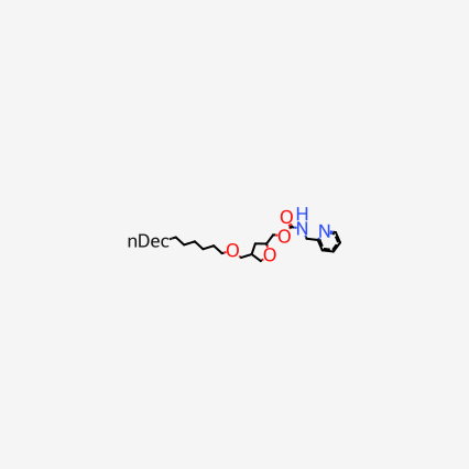 CCCCCCCCCCCCCCCCOCC1COC(COC(=O)NCc2ccccn2)C1